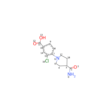 NC(=O)C1CCN(c2ccc(C(=O)O)cc2Cl)CC1